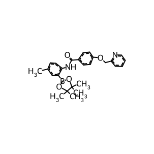 Cc1ccc(NC(=O)c2ccc(OCc3ccccn3)cc2)c(B2OC(C)(C)C(C)(C)O2)c1